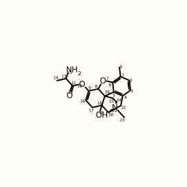 Cc1ccc2c3c1OC1C(OC(=O)C(C)N)=CCC4(O)C(C2)N(C)CCC314